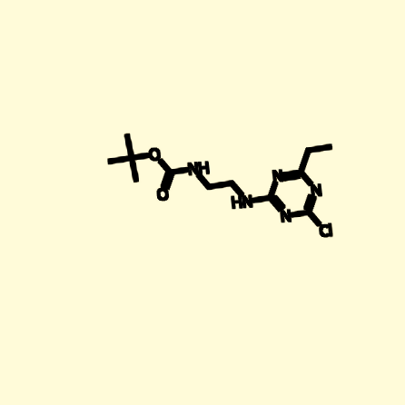 CCc1nc(Cl)nc(NCCNC(=O)OC(C)(C)C)n1